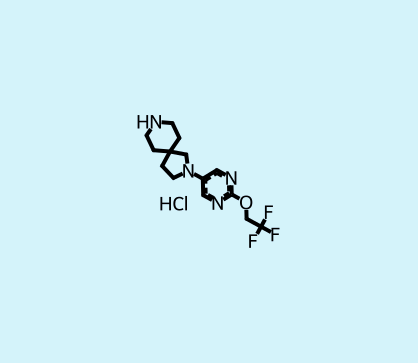 Cl.FC(F)(F)COc1ncc(N2CCC3(CCNCC3)C2)cn1